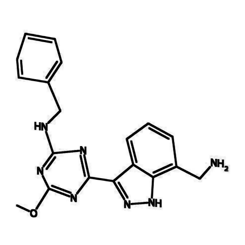 COc1nc(NCc2ccccc2)nc(-c2n[nH]c3c(CN)cccc23)n1